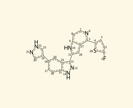 Fc1ccc(-c2nccc3[nH]c(-c4n[nH]c5ccc(-c6cn[nH]c6)cc45)cc23)s1